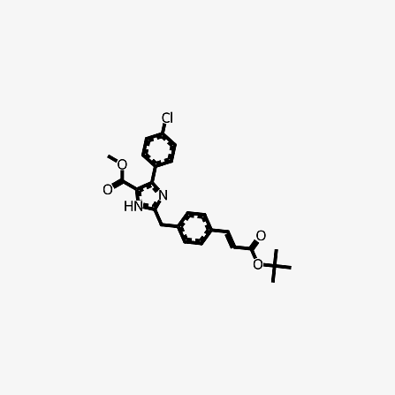 COC(=O)c1[nH]c(Cc2ccc(/C=C/C(=O)OC(C)(C)C)cc2)nc1-c1ccc(Cl)cc1